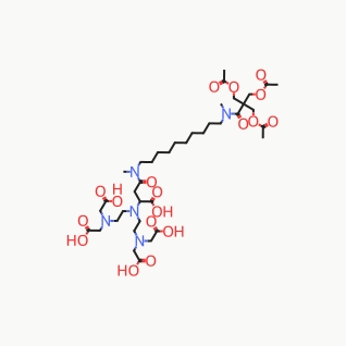 CC(=O)OCC(COC(C)=O)(COC(C)=O)C(=O)N(C)CCCCCCCCCCN(C)C(=O)CC(C(=O)O)N(CCN(CC(=O)O)CC(=O)O)CCN(CC(=O)O)CC(=O)O